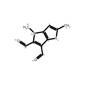 Cc1cc2c(s1)c(C=O)c(C=O)n2C